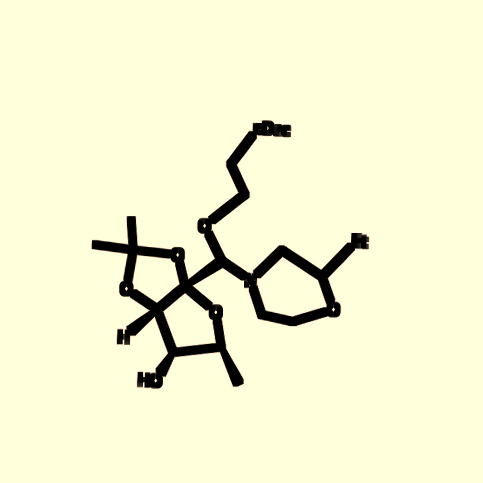 CCCCCCCCCCCCOC(N1CCOC(CC)C1)[C@@]12O[C@@H](C)[C@@H](O)[C@@H]1OC(C)(C)O2